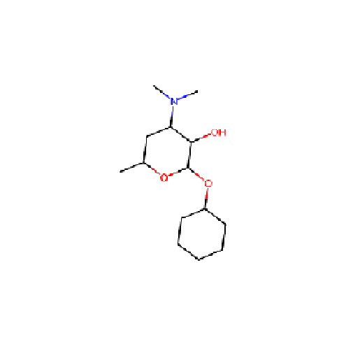 CC1CC(N(C)C)C(O)C(OC2CCCCC2)O1